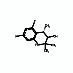 C[C@H]1c2c(F)cc(F)cc2NC(C)(C)C1O